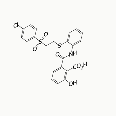 O=C(Nc1ccccc1SCCS(=O)(=O)c1ccc(Cl)cc1)c1cccc(O)c1C(=O)O